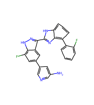 Nc1cncc(-c2cc(F)c3[nH]nc(-c4nc5c(-c6ccccc6F)cccc5[nH]4)c3c2)c1